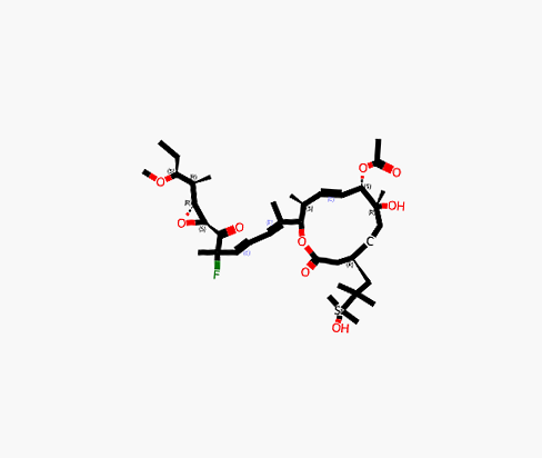 CC[C@H](OC)[C@@H](C)[C@H]1O[C@@H]1C(=O)C(C)(F)/C=C/C=C(\C)C1OC(=O)C[C@H](CC(C)(C)[Si](C)(C)O)CC[C@@](C)(O)[C@@H](OC(C)=O)/C=C/[C@@H]1C